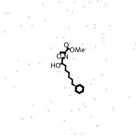 COC(=O)c1coc(C(O)CCCCCCc2ccccc2)n1